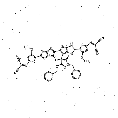 COc1cc(N=C(C#N)C#N)sc1-c1nc2sc3c(c2s1)OC(C(=O)OCc1ccccc1)(C(=O)OCc1ccccc1)c1c-3sc2c1SC(c1sc(N=C(C#N)C#N)cc1OC)N2